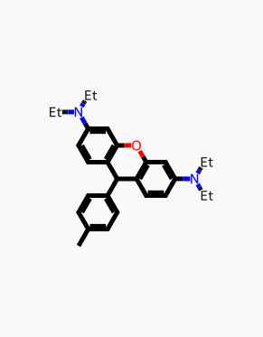 CCN(CC)c1ccc2c(c1)Oc1cc(N(CC)CC)ccc1C2c1ccc(C)cc1